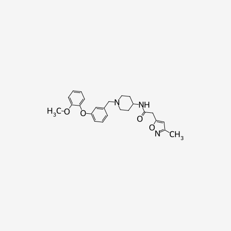 COc1ccccc1Oc1cccc(CN2CCC(NC(=O)Cc3cc(C)no3)CC2)c1